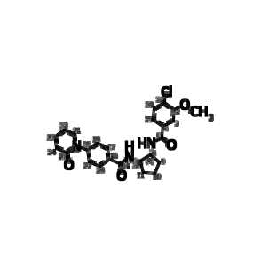 COc1cc(C(=O)N[C@@H]2CCC[C@@H]2NC(=O)c2ccc(-n3ccccc3=O)cc2)ccc1Cl